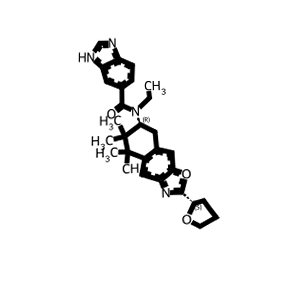 CCN(C(=O)c1ccc2nc[nH]c2c1)[C@@H]1Cc2cc3oc([C@@H]4CCCO4)nc3cc2C(C)(C)C1(C)C